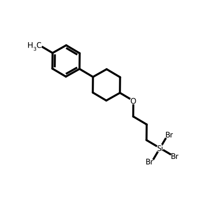 Cc1ccc(C2CCC(OCCC[Si](Br)(Br)Br)CC2)cc1